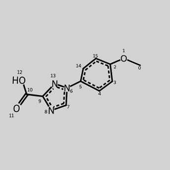 COc1ccc(-n2cnc(C(=O)O)n2)cc1